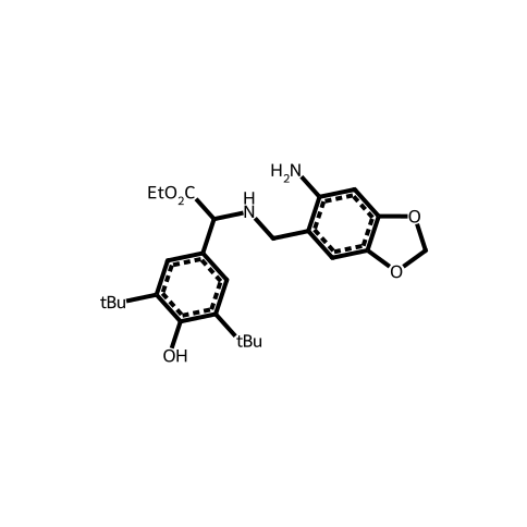 CCOC(=O)C(NCc1cc2c(cc1N)OCO2)c1cc(C(C)(C)C)c(O)c(C(C)(C)C)c1